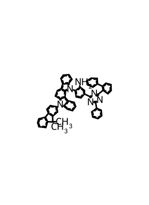 CC1(C)c2ccccc2-c2ccc(-n3c4ccccc4c4c3ccc3c5ccccc5n(-c5ccc(-c6nc(-c7ccccc7)nc(-c7ccccc7-c7ccccc7)n6)cc5N)c34)cc21